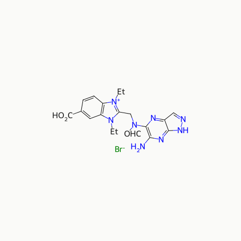 CCn1c(CN(C=O)c2nc3cn[nH]c3nc2N)[n+](CC)c2ccc(C(=O)O)cc21.[Br-]